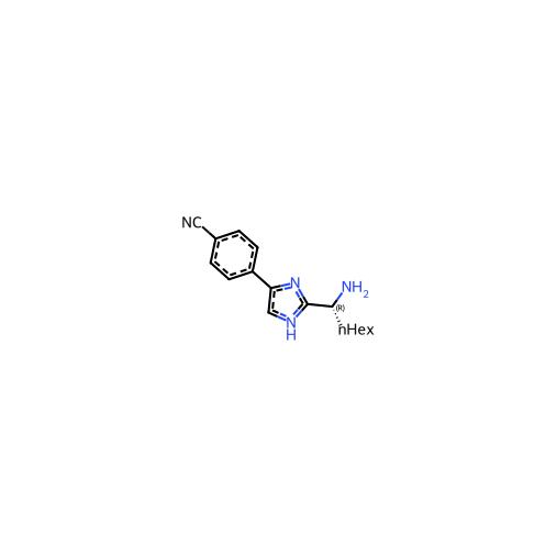 CCCCCC[C@@H](N)c1nc(-c2ccc(C#N)cc2)c[nH]1